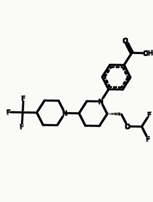 O=C(O)c1ccc(N2CC(N3CCC(C(F)(F)F)CC3)CC[C@H]2COC(F)F)cc1